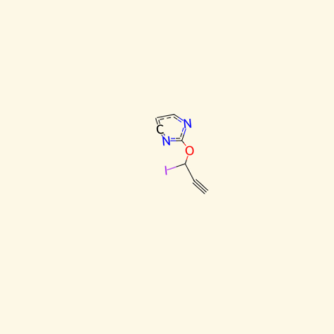 C#CC(I)Oc1ncccn1